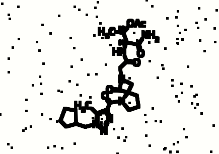 CC(=O)O[C@H](C)[C@H](NC(=O)CN1CC2(CCCN2C(=O)c2nnn(CC3CCCC3)c2C)C1=O)C(N)=O